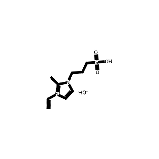 C=C[n+]1ccn(CCCS(=O)(=O)O)c1C.[OH-]